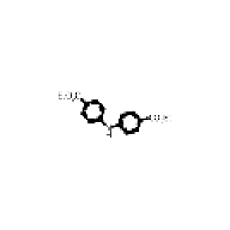 CCOC(=O)c1ccc(Nc2ccc(C(=O)OCC)cc2)cc1